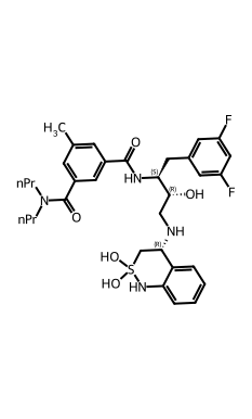 CCCN(CCC)C(=O)c1cc(C)cc(C(=O)N[C@@H](Cc2cc(F)cc(F)c2)[C@H](O)CN[C@H]2CS(O)(O)Nc3ccccc32)c1